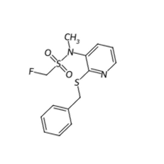 CN(c1cccnc1SCc1ccccc1)S(=O)(=O)CF